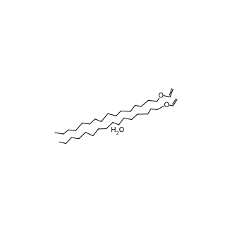 C=COCCCCCCCCCCCCCCCC.C=COCCCCCCCCCCCCCCCC.O